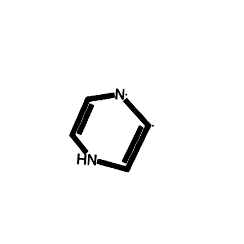 [C]1=CNC=C[N]1